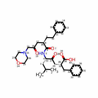 CC(C)C[C@H](NC(=O)[C@H](CCc1ccccc1)CC(=O)CN1CCOCC1)C(=O)C[C@@H](Cc1ccccc1)C(=O)O